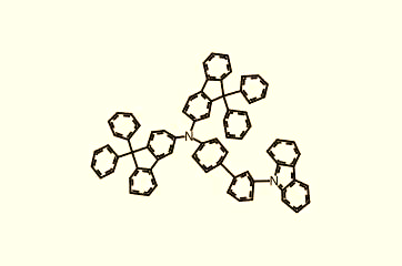 c1ccc(C2(c3ccccc3)c3ccccc3-c3cc(N(c4ccc(-c5cccc(-n6c7ccccc7c7ccccc76)c5)cc4)c4ccc5c(c4)C(c4ccccc4)(c4ccccc4)c4ccccc4-5)ccc32)cc1